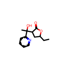 CCC1CC(C(C)(O)c2ccccn2)C(=O)O1